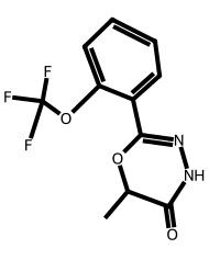 CC1OC(c2ccccc2OC(F)(F)F)=NNC1=O